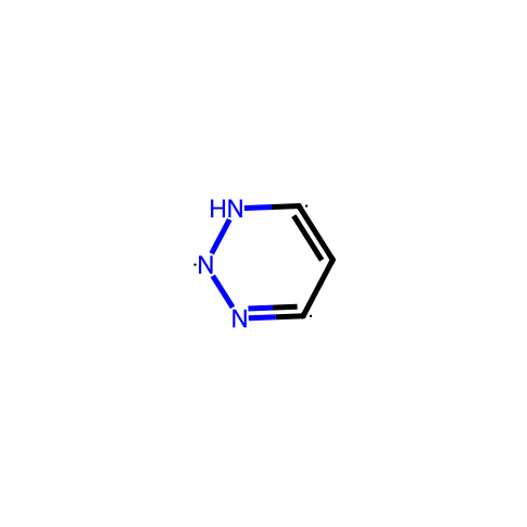 [C]1=C[C]=N[N]N1